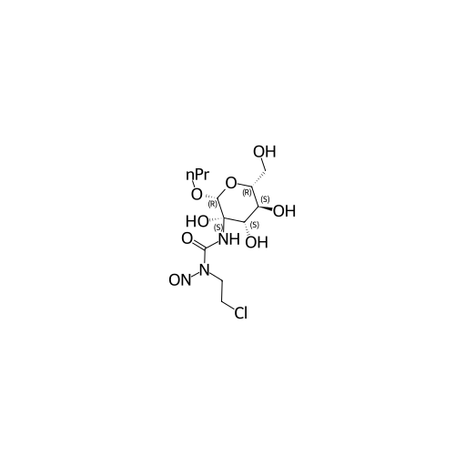 CCCO[C@@H]1O[C@H](CO)[C@@H](O)[C@H](O)[C@@]1(O)NC(=O)N(CCCl)N=O